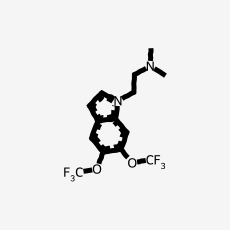 CN(C)CCn1ccc2cc(OC(F)(F)F)c(OC(F)(F)F)cc21